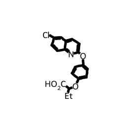 CCC(Oc1ccc(Oc2ccc3cc(Cl)ccc3n2)cc1)C(=O)O